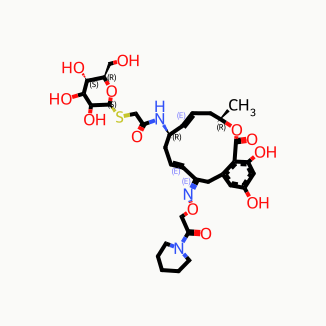 C[C@@H]1C/C=C/[C@H](NC(=O)CS[C@@H]2O[C@H](CO)[C@@H](O)C(O)C2O)C/C=C/C(=N/OCC(=O)N2CCCCC2)Cc2cc(O)cc(O)c2C(=O)O1